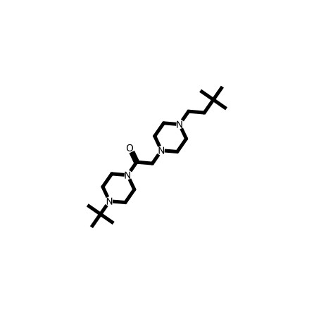 CC(C)(C)CCN1CCN(CC(=O)N2CCN(C(C)(C)C)CC2)CC1